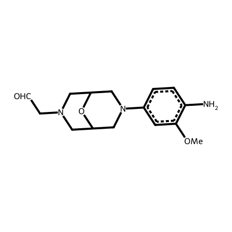 COc1cc(N2CC3CN(CC=O)CC(C2)O3)ccc1N